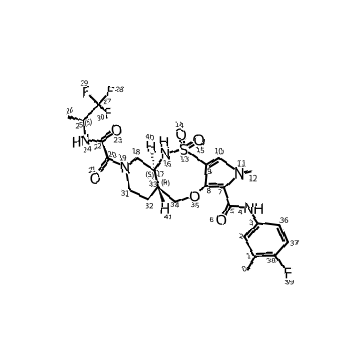 Cc1cc(NC(=O)c2c3c(cn2C)S(=O)(=O)N[C@@H]2CN(C(=O)C(=O)N[C@@H](C)C(F)(F)F)CC[C@H]2CO3)ccc1F